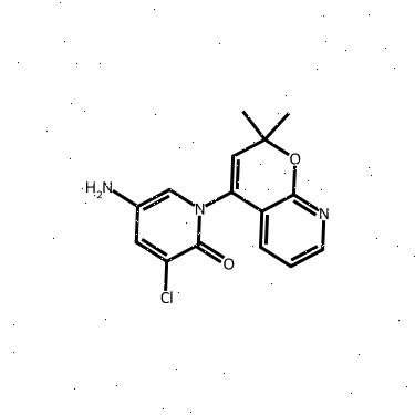 CC1(C)C=C(n2cc(N)cc(Cl)c2=O)c2cccnc2O1